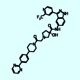 O=C(CN1CC[C@@](O)(C(=O)Nc2ccc3[nH]nc(-c4ccnc(C(F)(F)F)c4)c3c2)C1)N1CCC(c2ccc(-c3ncccn3)cc2)CC1